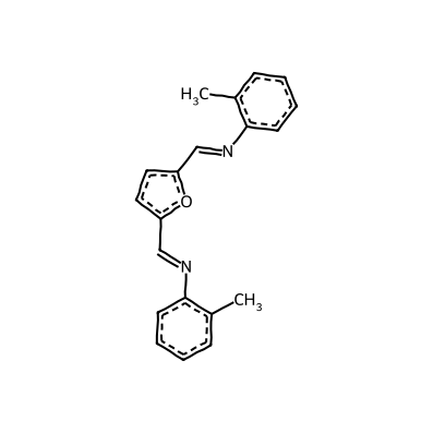 Cc1ccccc1N=Cc1ccc(C=Nc2ccccc2C)o1